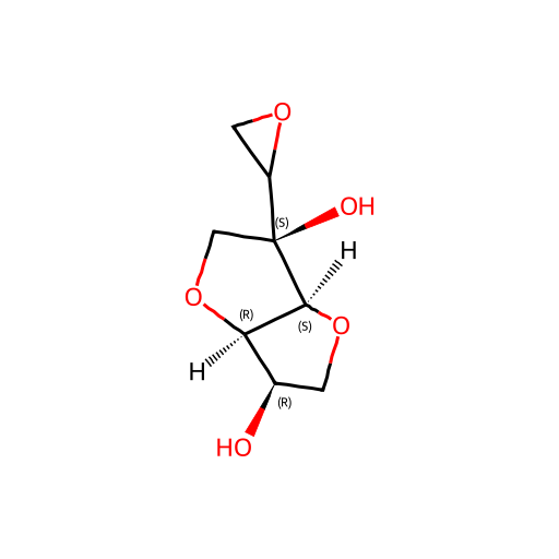 O[C@@H]1CO[C@H]2[C@@H]1OC[C@]2(O)C1CO1